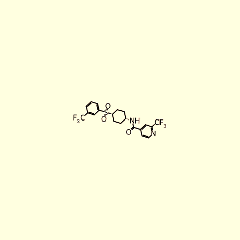 O=C(N[C@H]1CC[C@H](S(=O)(=O)c2cccc(C(F)(F)F)c2)CC1)c1ccnc(C(F)(F)F)c1